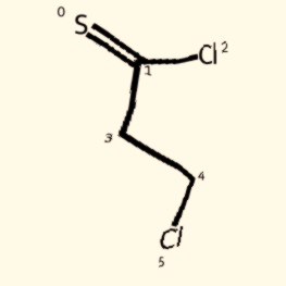 S=C(Cl)CCCl